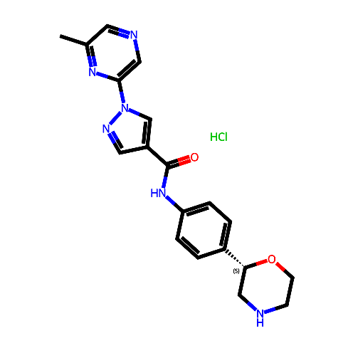 Cc1cncc(-n2cc(C(=O)Nc3ccc([C@H]4CNCCO4)cc3)cn2)n1.Cl